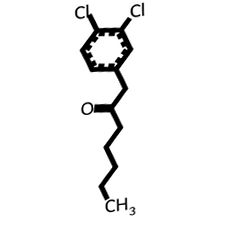 CCCCCC(=O)Cc1ccc(Cl)c(Cl)c1